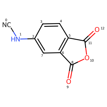 N#CNc1ccc2c(c1)C(=O)OC2=O